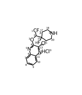 Cl.FC(F)(F)C(Oc1nc2ccccc2nc1Cl)C1(F)CCNCC1